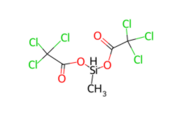 C[SiH](OC(=O)C(Cl)(Cl)Cl)OC(=O)C(Cl)(Cl)Cl